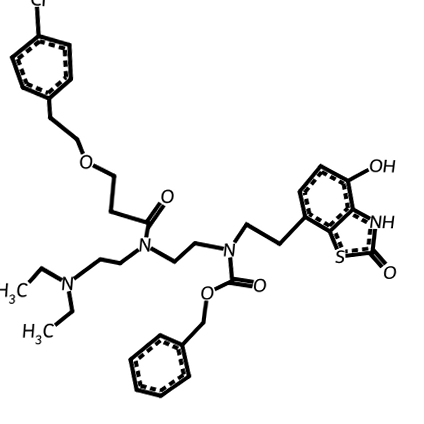 CCN(CC)CCN(CCN(CCc1ccc(O)c2[nH]c(=O)sc12)C(=O)OCc1ccccc1)C(=O)CCOCCc1ccc(Cl)cc1